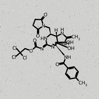 C=C1N[C@H]2[C@H](CN3C(=O)CCC3=O)N/C(=N\C(=O)OCC(Cl)(Cl)Cl)N3C[C@H](NC(=O)c4ccc(C)cc4)C(O)(O)[C@]23N1